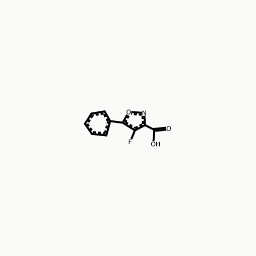 O=C(O)c1noc(-c2ccccc2)c1F